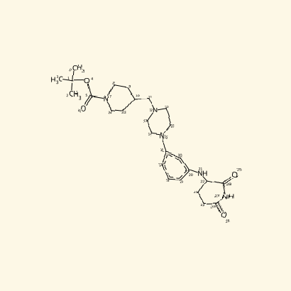 CC(C)(C)OC(=O)N1CCC(CN2CCN(c3cccc(NC4CCC(=O)NC4=O)c3)CC2)CC1